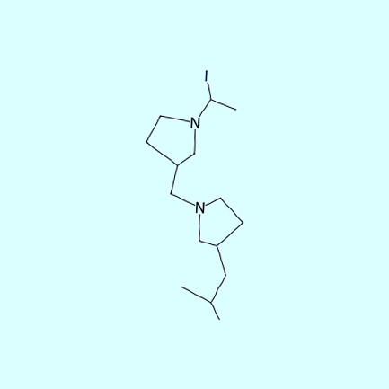 CC(C)CC1CCN(CC2CCN(C(C)I)C2)C1